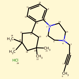 CC#CCN1CCN(c2ccccc2C2CC(C)(C)CC(C)(C)C2)CC1.Cl